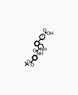 CC(C)(C)OC(=O)c1ccc(NC(=O)C2NCCc3c(C4=CCN(C(=O)O)CC4)cccc32)cc1